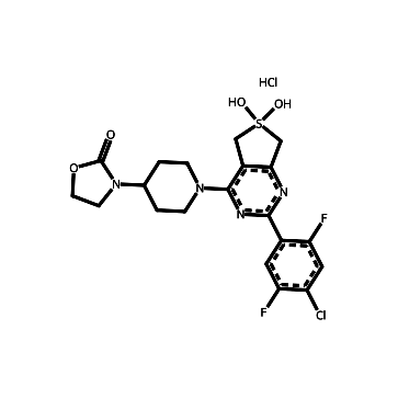 Cl.O=C1OCCN1C1CCN(c2nc(-c3cc(F)c(Cl)cc3F)nc3c2CS(O)(O)C3)CC1